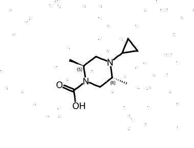 C[C@@H]1CN(C(=O)O)[C@@H](C)CN1C1CC1